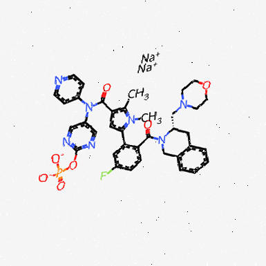 Cc1c(C(=O)N(c2ccncc2)c2cnc(OP(=O)([O-])[O-])nc2)cc(-c2cc(F)ccc2C(=O)N2Cc3ccccc3C[C@H]2CN2CCOCC2)n1C.[Na+].[Na+]